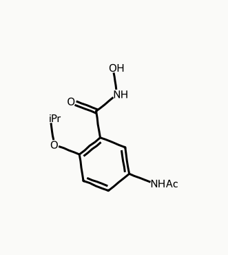 CC(=O)Nc1ccc(OC(C)C)c(C(=O)NO)c1